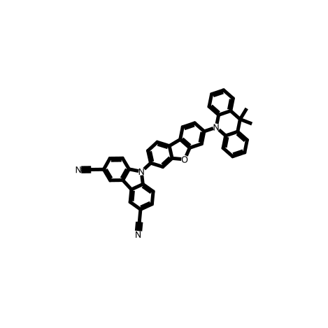 CC1(C)c2ccccc2N(c2ccc3c(c2)oc2cc(-n4c5ccc(C#N)cc5c5cc(C#N)ccc54)ccc23)c2ccccc21